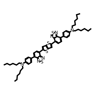 CCCCCCN(CCCCCC)c1ccc(-c2ccc(-c3cc4sc(-c5ccc(-c6ccc(N(CCCCCC)CCCCCC)cc6)c6nsnc56)cc4s3)c3nsnc23)cc1